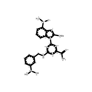 COc1nc2c([S+](N)[O-])cccc2n1-c1nc(NCc2cccc(B(O)O)c2)nc(C(N)=O)n1